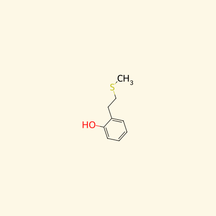 CSCCc1ccccc1O